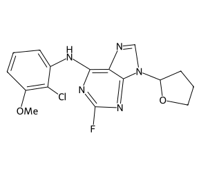 COc1cccc(Nc2nc(F)nc3c2ncn3C2CCCO2)c1Cl